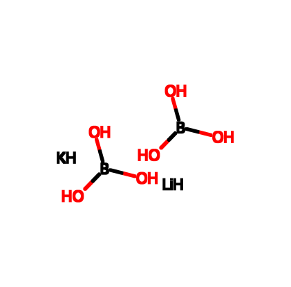 OB(O)O.OB(O)O.[KH].[LiH]